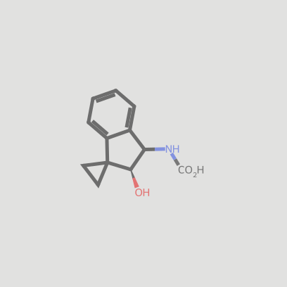 O=C(O)NC1c2ccccc2C2(CC2)[C@@H]1O